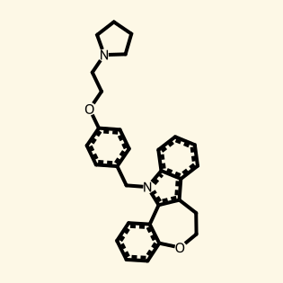 c1ccc2c(c1)OCCc1c-2n(Cc2ccc(OCCN3CCCC3)cc2)c2ccccc12